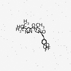 CC1CN(C(=O)/C=C/c2ccc3c(c2)OC(F)(F)O3)CCN1C(=O)c1cc(C(C)(C)O)ncn1